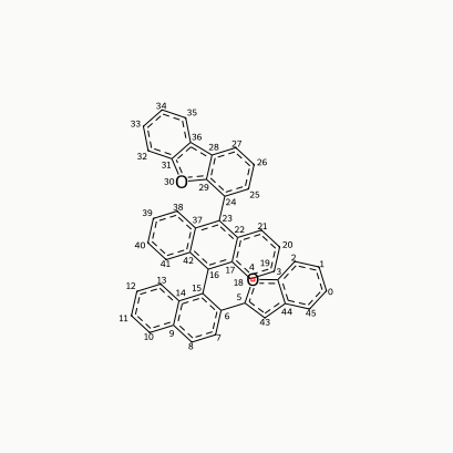 c1ccc2oc(-c3ccc4ccccc4c3-c3c4ccccc4c(-c4cccc5c4oc4ccccc45)c4ccccc34)cc2c1